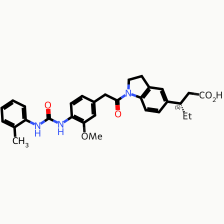 CC[C@@H](CC(=O)O)c1ccc2c(c1)CCN2C(=O)Cc1ccc(NC(=O)Nc2ccccc2C)c(OC)c1